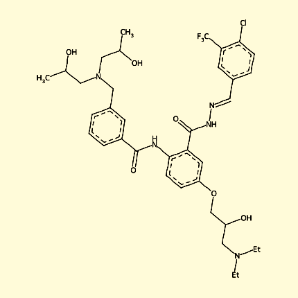 CCN(CC)CC(O)COc1ccc(NC(=O)c2cccc(CN(CC(C)O)CC(C)O)c2)c(C(=O)NN=Cc2ccc(Cl)c(C(F)(F)F)c2)c1